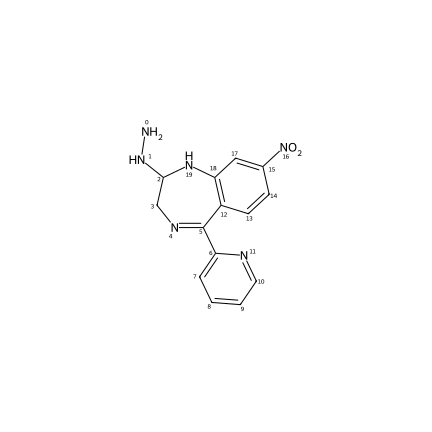 NNC1CN=C(c2ccccn2)c2ccc([N+](=O)[O-])cc2N1